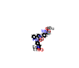 CCC1(CC)OC(=O)c2cc3cc(NC(=O)[C@@H]4[C@H](C5CCCCC5)CCN4C(=O)[C@H]4CC[C@H]([C@@H](CF)NC(=O)OC(C)(C)C)CC4)ccc3n21